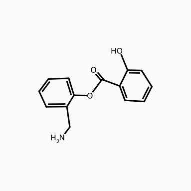 NCc1ccccc1OC(=O)c1ccccc1O